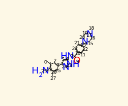 Cc1cc(-c2cc(NC(=O)c3ccc(N4CCN(C)CC4)cc3)[nH]n2)cc(C)c1N